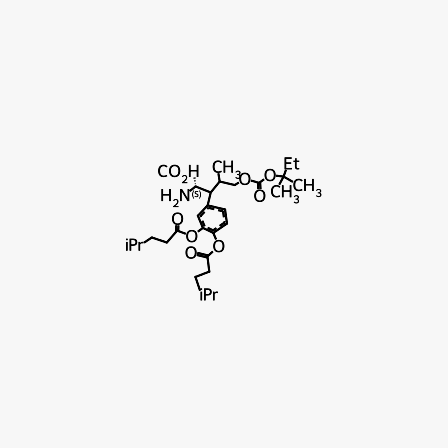 CCC(C)(C)OC(=O)OCC(C)C(c1ccc(OC(=O)CCC(C)C)c(OC(=O)CCC(C)C)c1)[C@H](N)C(=O)O